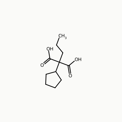 CCCC(C(=O)O)(C(=O)O)C1CCCC1